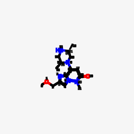 COCc1cn2c(n1)c(N1C[C@@H](C)NC[C@@H]1C)cc(=O)n2C